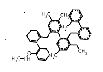 CCc1cc(C)cc(-c2cc(C)c(C)cc2CC2=CCCC=C2C2=C(OPC)C=CCC2)c1Cc1ccccc1-c1ccccc1C